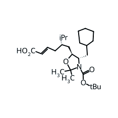 CC(C)[C@@H](C/C=C/C(=O)O)C[C@@H]1OC(C)(C)N(C(=O)OC(C)(C)C)[C@H]1CC1CCCCC1